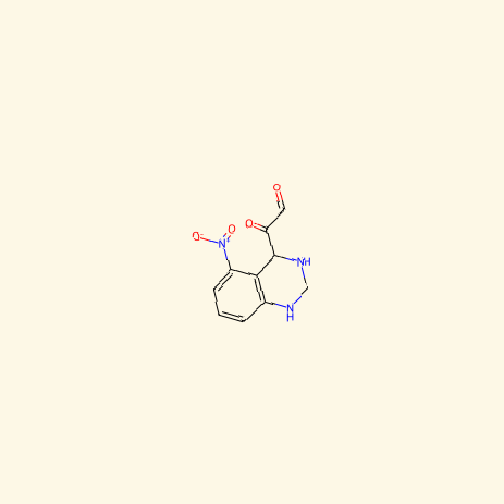 O=CC(=O)C1NCNc2cccc([N+](=O)[O-])c21